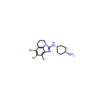 Cc1c(Br)c(Br)c2c3c1nc(N[C@H]1CC[C@H](N)CC1)n3CCC2